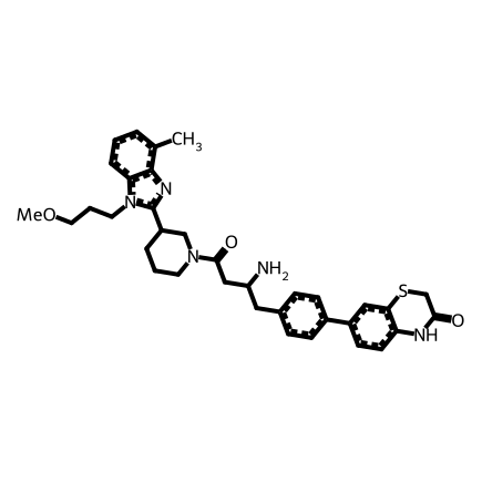 COCCCn1c(C2CCCN(C(=O)CC(N)Cc3ccc(-c4ccc5c(c4)SCC(=O)N5)cc3)C2)nc2c(C)cccc21